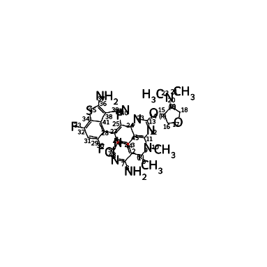 C[C@H](c1cncnc1N)N(C)c1nc(O[C@H]2COC[C@H]2N(C)C)nc2c(F)c(-c3c(F)cc(F)c4sc(N)c(C#N)c34)c(Cl)cc12